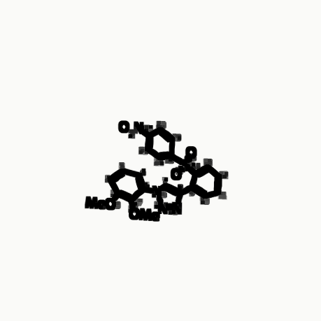 COc1cccc(-n2cc(-c3ccccc3S(=O)(=O)c3ccc([N+](=O)[O-])cc3)nn2)c1OC